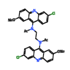 COc1ccc2nc3cc(Cl)ccc3c(N(CCN(C(C)=O)c3c4ccc(Cl)cc4nc4ccc(OC)cc34)C(C)=O)c2c1